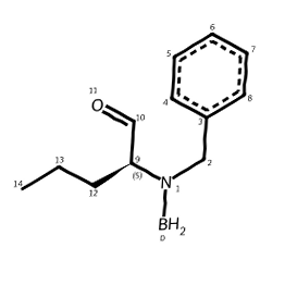 BN(Cc1ccccc1)[C@H](C=O)CCC